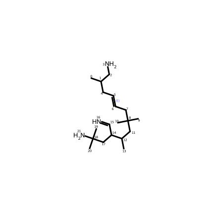 CC(CN)C/C=C/CC(C)(C)CC(C)C(C=N)CC(C)(C)N